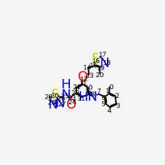 Cc1ccccc1CNc1cc(OCCc2scnc2C)cc(C(=O)Nc2nncs2)c1